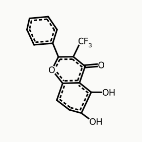 O=c1c(C(F)(F)F)c(-c2ccccc2)oc2ccc(O)c(O)c12